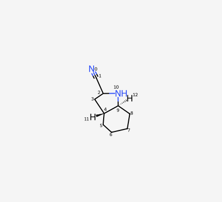 N#CC1C[C@H]2CCCC[C@@H]2N1